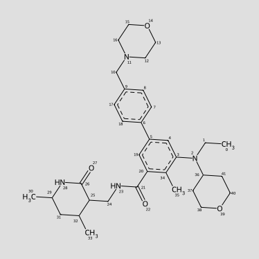 CCN(c1cc(-c2ccc(CN3CCOCC3)cc2)cc(C(=O)NCC2C(=O)NC(C)CC2C)c1C)C1CCOCC1